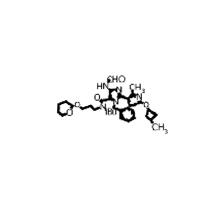 CCC(C)N(CCCOC1CCCCO1)C(=O)c1c(NC=O)nc(-c2ccc(OC3CC(C)C3)nc2C)n1Cc1ccccc1